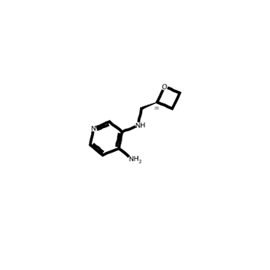 Nc1ccncc1NC[C@@H]1CCO1